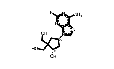 Nc1nc(F)nc2c1ncn2[C@H]1C[C@H](O)C(CO)(CO)C1